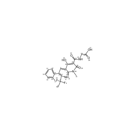 C=c1/c(=C\C(=C(/N)C(F)(F)F)c2cccnc2C)c(O)c(C(=O)NCC(=O)O)c(=O)n1C